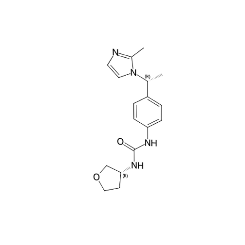 Cc1nccn1[C@H](C)c1ccc(NC(=O)N[C@@H]2CCOC2)cc1